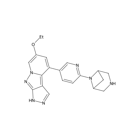 CCOc1cc(-c2ccc(N3C4CNCC3C4)nc2)c2c3cn[nH]c3nn2c1